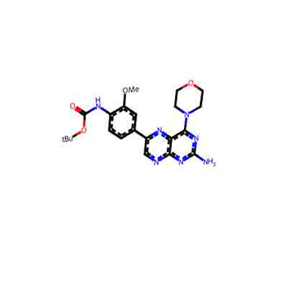 COc1cc(-c2cnc3nc(N)nc(N4CCOCC4)c3n2)ccc1NC(=O)OC(C)(C)C